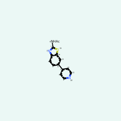 CC(=O)Nc1nc2ccc(-c3ccncc3)cc2s1